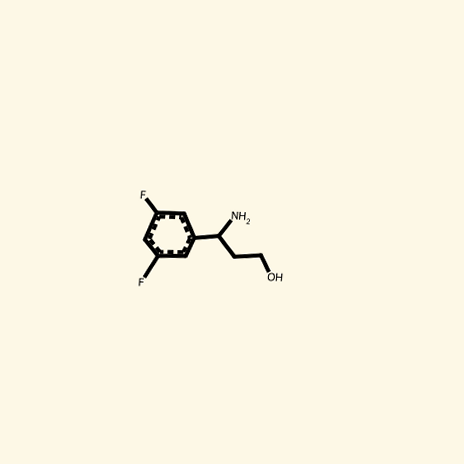 NC(CCO)c1cc(F)cc(F)c1